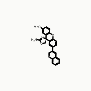 COc1ccc2c(c1)[C@]1(COC(N)=N1)c1cc(-c3cnc4ccccc4c3)ccc1O2